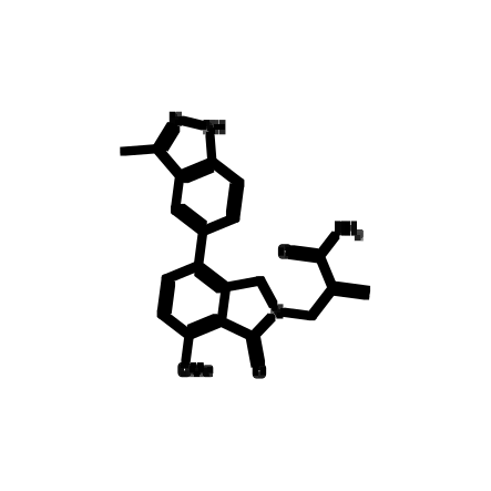 C=C(CN1Cc2c(-c3ccc4[nH]nc(C)c4c3)ccc(OC)c2C1=O)C(N)=O